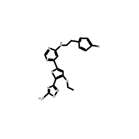 CCOc1cc(-c2cc(NCCc3ccc(Br)cc3)ncn2)sc1-c1noc(N)n1